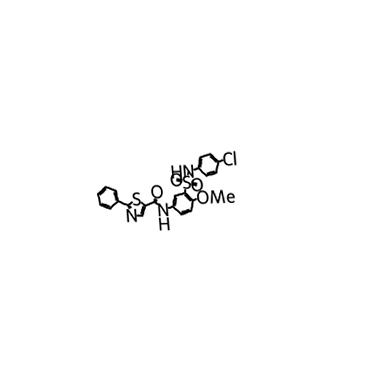 COc1ccc(NC(=O)c2cnc(-c3ccccc3)s2)cc1S(=O)(=O)Nc1ccc(Cl)cc1